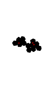 c1ccc([Si](c2ccccc2)(c2ccc(-c3ccc([Si](c4ccccc4)(c4ccccc4)c4cccc5c4sc4ccccc45)cc3)cc2)c2cccc(-n3c4ccccc4c4ccc5c6ccccc6sc5c43)c2)cc1